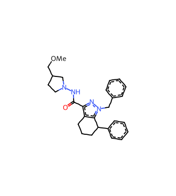 COCC1CCN(NC(=O)c2nn(Cc3ccccc3)c3c2CCCC3c2ccccc2)C1